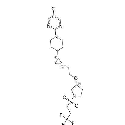 O=S(=O)(CCC(F)(F)F)N1CC[C@@H](OCC[C@@H]2C[C@@H]2C2CCN(c3ncc(Cl)cn3)CC2)C1